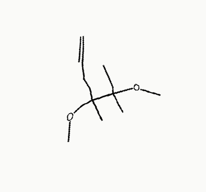 C=CCC(C)(OC)C(C)(C)OC